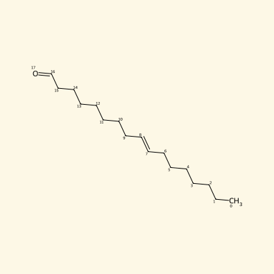 CCCCCCCC=CCCCCCCCC=O